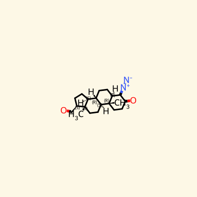 C[C@]12CCC(=O)C(=[N+]=[N-])[C@@H]1CC[C@@H]1[C@@H]2CC[C@]2(C)[C@@H](C=O)CC[C@@H]12